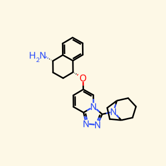 N[C@H]1CC[C@@H](Oc2ccc3nnc(N4C5CCCC4CC5)n3c2)c2ccccc21